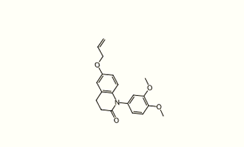 C=CCOc1ccc2c(c1)CCC(=O)N2c1ccc(OC)c(OC)c1